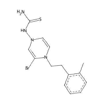 Cc1ccccc1CCN1C=CN(NC(N)=S)C=C1Br